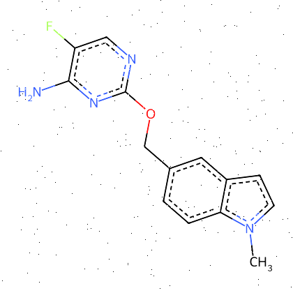 Cn1ccc2cc(COc3ncc(F)c(N)n3)ccc21